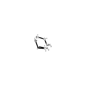 C=CBr.CCO[SiH3]